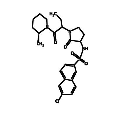 CCC(C(=O)N1CCCC[C@@H]1C)N1CCC(NS(=O)(=O)c2ccc3cc(Cl)ccc3c2)C1=O